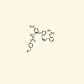 CC(=O)Oc1cccc(CBr)c1.CC(=O)Oc1ccccc1CBr.CCC(=O)Oc1ccc(CBr)cc1.CCCC(=O)Oc1ccccc1CBr